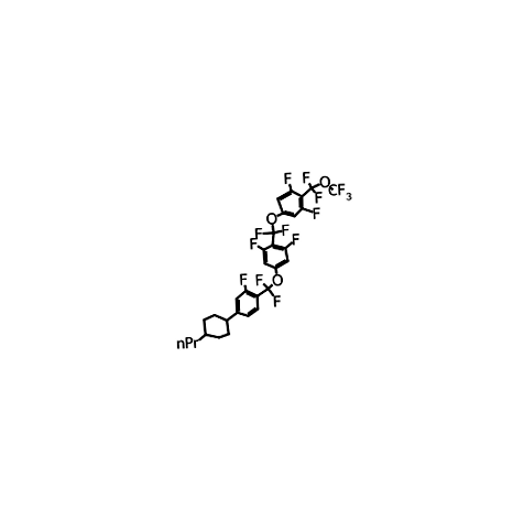 CCCC1CCC(c2ccc(C(F)(F)Oc3cc(F)c(C(F)(F)Oc4cc(F)c(C(F)(F)OC(F)(F)F)c(F)c4)c(F)c3)c(F)c2)CC1